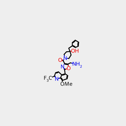 COc1ccc(-c2nc(C(=O)N3CCC(O)(Cc4ccccc4)CC3)c(CN)o2)c2ccc(C(F)(F)F)nc12